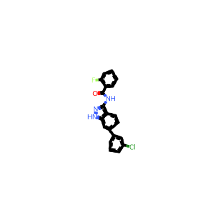 O=C(Nc1n[nH]c2cc(-c3cccc(Cl)c3)ccc12)c1ccccc1F